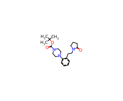 CC(C)(C)OC(=O)N1CCN(c2ccccc2CCN2CCCC2=O)CC1